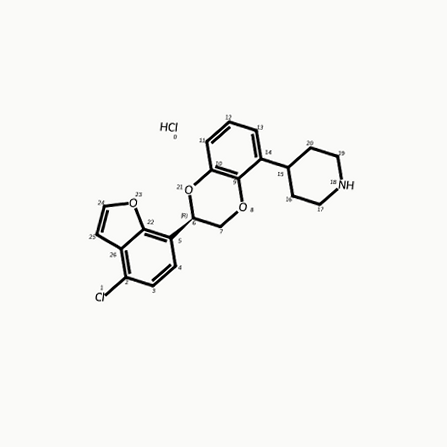 Cl.Clc1ccc([C@@H]2COc3c(cccc3C3CCNCC3)O2)c2occc12